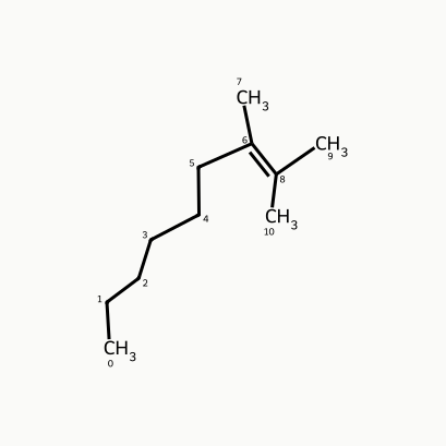 CCCCCCC(C)=C(C)C